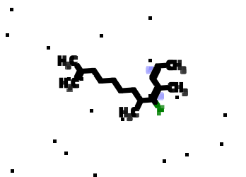 C=C(C)CCCCCC(C)/C(F)=C(C)\C=C/C